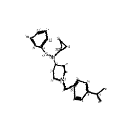 CC(C)c1ccc(CN2CCC(N(Sc3ccccc3)C3CC3)CC2)cc1